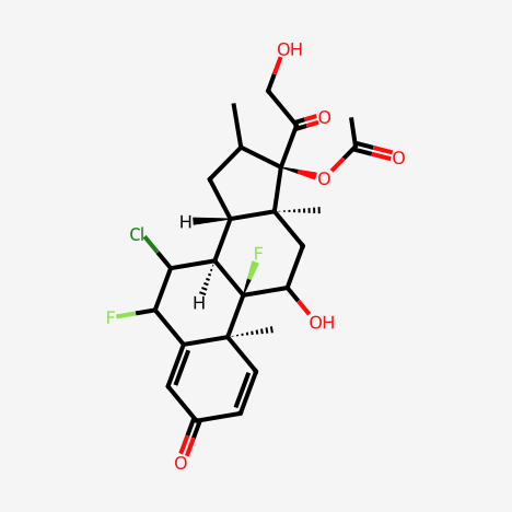 CC(=O)O[C@]1(C(=O)CO)C(C)C[C@H]2[C@@H]3C(Cl)C(F)C4=CC(=O)C=C[C@]4(C)[C@@]3(F)C(O)C[C@@]21C